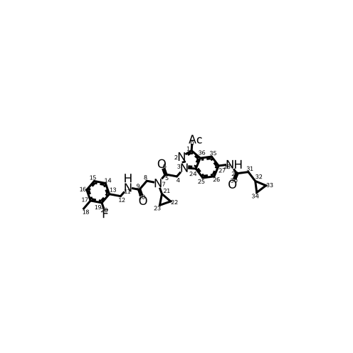 CC(=O)c1nn(CC(=O)N(CC(=O)NCc2cccc(C)c2F)C2CC2)c2ccc(NC(=O)CC3CC3)cc12